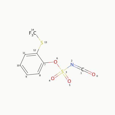 O=C=NS(=O)(=O)Oc1ccccc1SC(F)(F)F